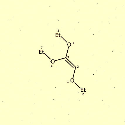 CCOC=C(OCC)OCC